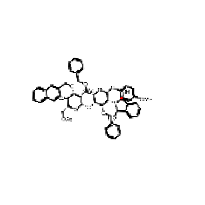 COc1ccc(O[C@@H]2O[C@H](COCc3ccccc3)[C@@H](O[C@@H]3O[C@H](COC(C)=O)[C@@H](OC(C)=O)[C@H](OCc4ccc5ccccc5c4)[C@H]3OC(C)=O)[C@H](OCc3ccccc3)[C@H]2N2C(O)c3ccccc3C2O)cc1